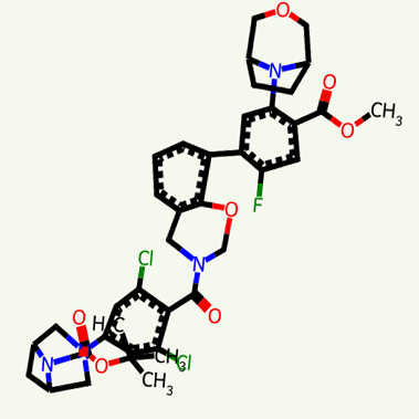 COC(=O)c1cc(F)c(-c2cccc3c2OCN(C(=O)c2c(Cl)cc(N4CC5CC(C4)N5C(=O)OC(C)(C)C)cc2Cl)C3)cc1N1C2CCC1COC2